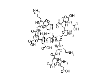 NCCCC[C@H](NC(=O)CNC(=O)[C@H](CCC(=O)O)NC(=O)[C@H](CCC(=O)O)NC(=O)CNC(=O)[C@H](CCCCN)NC(=O)[C@H](CCCCN)NC(=O)CNC(=O)[C@H](CCC(=O)O)NC(=O)[C@@H](N)CCC(=O)O)C(=O)N[C@@H](CCCCN)C(=O)NCC(=O)N[C@@H](CCC(=O)O)C(=O)N[C@@H](CCC(=O)O)C(=O)O